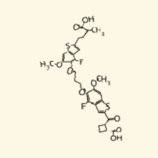 COc1cc2sc(CC[C@H](C)C(=O)O)cc2c(F)c1OCCCOc1c(OC)cc2sc(C(=O)[C@@H]3CC[C@H]3C(=O)O)cc2c1F